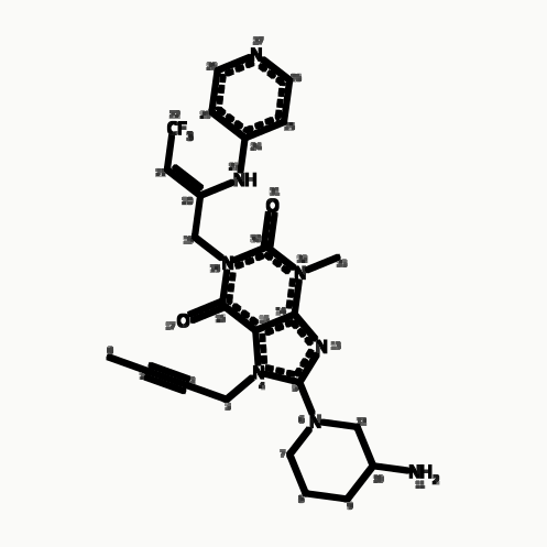 CC#CCn1c(N2CCCC(N)C2)nc2c1c(=O)n(CC(=CC(F)(F)F)Nc1ccncc1)c(=O)n2C